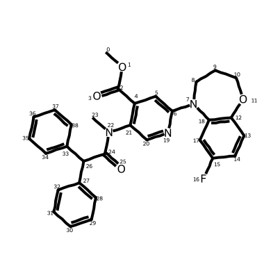 COC(=O)c1cc(N2CCCOc3ccc(F)cc32)ncc1N(C)C(=O)C(c1ccccc1)c1ccccc1